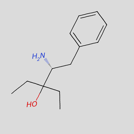 CCC(O)(CC)[C@H](N)Cc1ccccc1